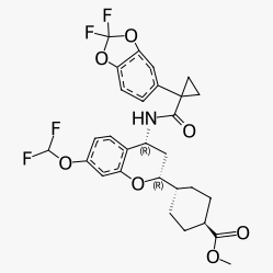 COC(=O)[C@H]1CC[C@H]([C@H]2C[C@@H](NC(=O)C3(c4ccc5c(c4)OC(F)(F)O5)CC3)c3ccc(OC(F)F)cc3O2)CC1